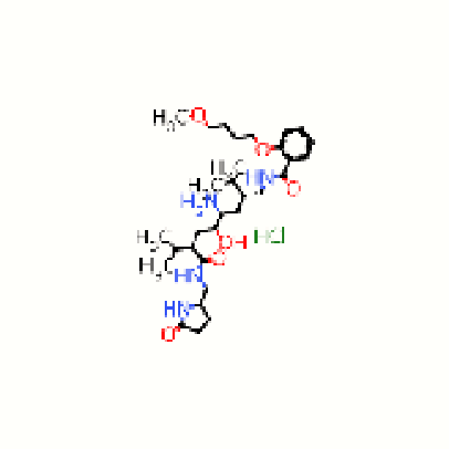 COCCCCOc1ccccc1C(=O)NC[C@H](C[C@H](N)[C@@H](O)C[C@@H](C(=O)NCC1CCC(=O)N1)C(C)C)C(C)C.Cl